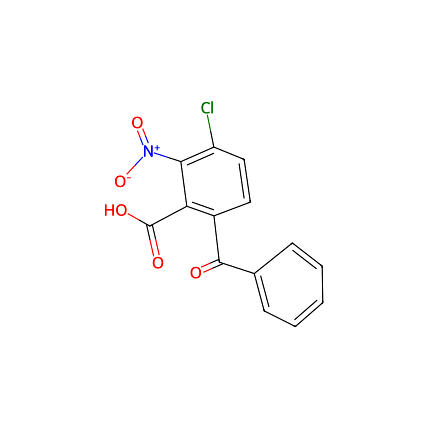 O=C(c1ccccc1)c1ccc(Cl)c([N+](=O)[O-])c1C(=O)O